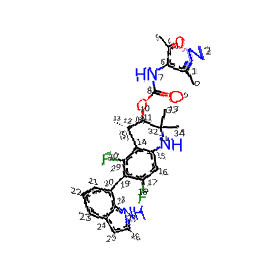 Cc1noc(C)c1NC(=O)O[C@@H]1[C@@H](C)c2c(cc(F)c(-c3cccc4cc[nH]c34)c2F)NC1(C)C